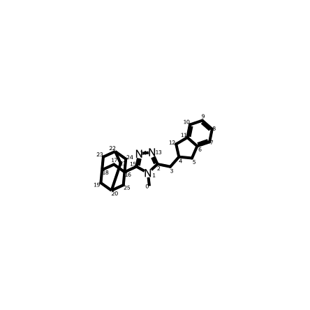 Cn1c(CC2Cc3ccccc3C2)nnc1C12CC3CC(CC(C3)C1)C2